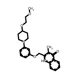 COCCOC1CCN(c2cccc(OCc3[nH]c4ccccc4c(=O)c3C)c2)CC1